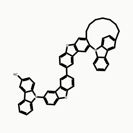 N#Cc1ccc2c(c1)c1ccccc1n2-c1ccc2oc3ccc(-c4ccc5oc6cc7c(cc6c5c4)-n4c5ccccc5c5cc(ccc54)CCCCCCC7)cc3c2c1